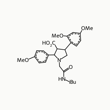 CCC(C)NC(=O)CN1CC(c2ccc(OC)cc2OC)C(C(=O)O)C1c1ccc(OC)cc1